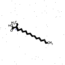 CCCCCCCCCCCCC/C=C(\CC)C(=O)O